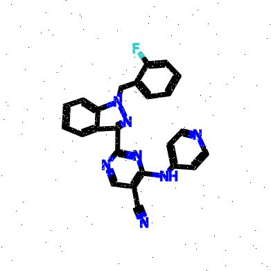 N#Cc1cnc(-c2nn(Cc3ccccc3F)c3ccccc23)nc1Nc1ccncc1